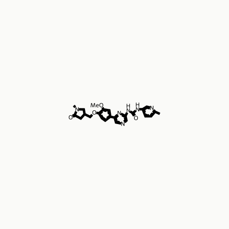 COc1cc(-c2cncc(NC(=O)Nc3ccc(C)nc3)n2)ccc1OCC1CC(=O)N(C)C1